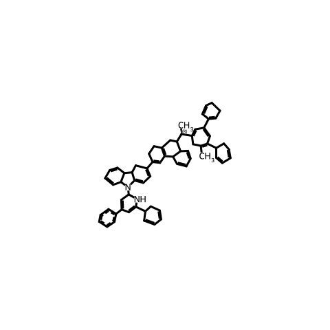 CC1=C(C2C=CC=CC2)C=C(C2=CCCC=C2)C=C([C@H](C)C2CC3=C(C=C(C4=CC=C5C(C4)C4C=CC=CC4N5C4C=C(c5ccccc5)C=C(C5C=CC=CC5)N4)CC3)C3C=CC=CC32)C1